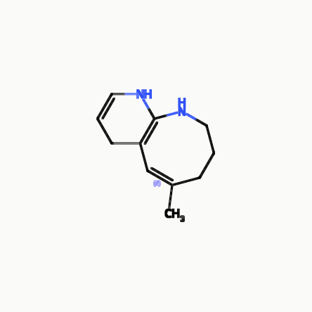 C/C1=C/C2=C(NC=CC2)NCCC1